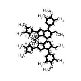 CCc1ccc2c(c1-c1cc(C)c(OC)c(C)c1)C=C(c1cc(C)c(C)o1)[CH]2[Zr]([Cl])([Cl])([CH]1C(c2cc(C)c(C)o2)=Cc2c1ccc(CC)c2-c1cc(C)c(OC)c(C)c1)=[Si](C)C